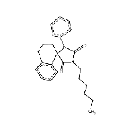 CCCCCCN1C(=O)N(c2ccccc2)C2(CCCc3ccccc32)C1=O